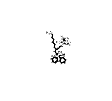 CCCCCCCC(CCO[Si](C)(C)C(C)(C)C)CC(C)(C)[Si](O)(c1ccccc1)c1ccccc1